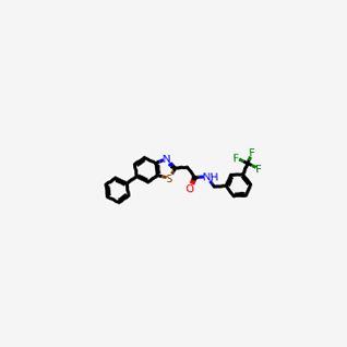 O=C(Cc1nc2ccc(-c3ccccc3)cc2s1)NCc1cccc(C(F)(F)F)c1